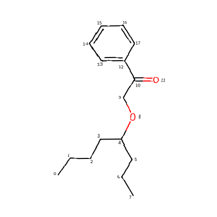 CCCCC(CCC)OCC(=O)c1ccccc1